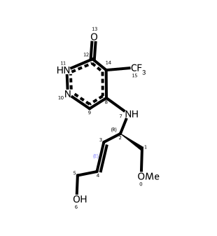 COC[C@@H](/C=C/CO)Nc1cn[nH]c(=O)c1C(F)(F)F